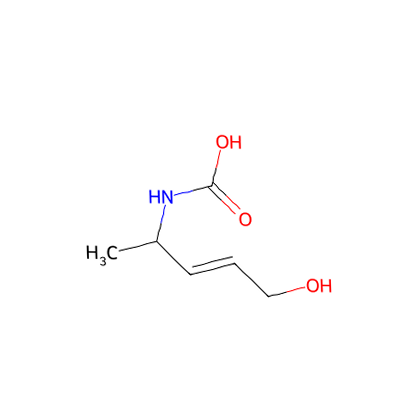 CC(C=CCO)NC(=O)O